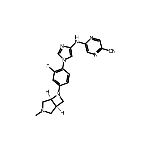 CN1C[C@@H]2CN(c3ccc(-n4cnc(Nc5cnc(C#N)cn5)c4)c(F)c3)[C@@H]2C1